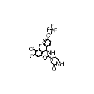 O=C1CN(C(=O)NC(c2ccc(OCC(F)(F)F)nc2)c2ccc(F)c(Cl)c2F)CCN1